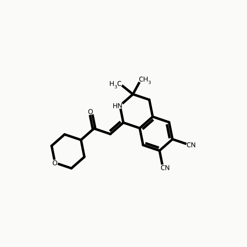 CC1(C)Cc2cc(C#N)c(C#N)cc2C(=CC(=O)C2CCOCC2)N1